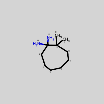 CC1(C)CCCCCCC1(N)N